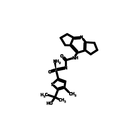 Cc1cc([S@](N)(=O)=NC(=O)Nc2c3c(nc4c2CCC4)CCC3)sc1C(C)(C)O